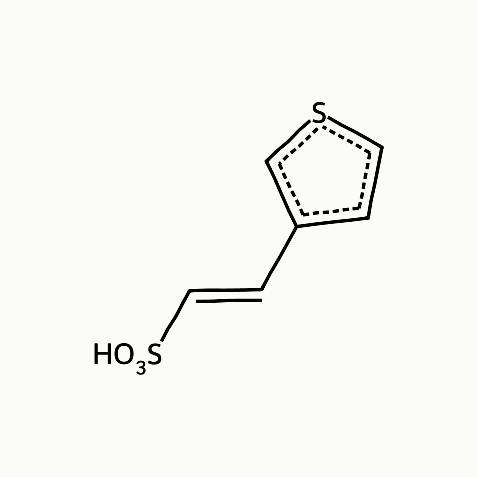 O=S(=O)(O)/C=C/c1ccsc1